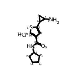 Cl.NC1CC1c1cc(C(=O)NC2CCCC2)cs1